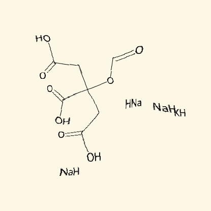 O=COC(CC(=O)O)(CC(=O)O)C(=O)O.[KH].[NaH].[NaH].[NaH]